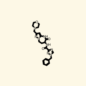 O=C(NC1CCn2nc(CN3CCOCC3)cc2NC1=O)c1ncn(Cc2ccccc2)n1